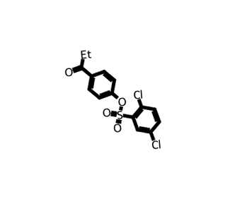 CCC(=O)c1ccc(OS(=O)(=O)c2cc(Cl)ccc2Cl)cc1